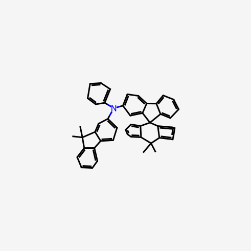 CC1(C)c2ccccc2-c2ccc(N(c3ccccc3)c3ccc4c(c3)C3(c5ccccc5-4)c4ccccc4C(C)(C)c4ccccc43)cc21